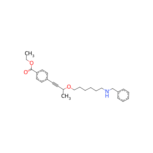 CCOC(=O)c1ccc(C#CC(C)OCCCCCCNCc2ccccc2)cc1